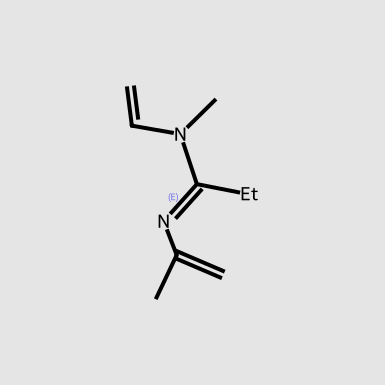 C=CN(C)/C(CC)=N/C(=C)C